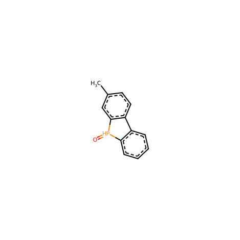 Cc1ccc2c(c1)[PH](=O)c1ccccc1-2